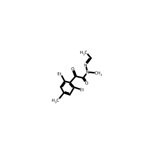 CC=NN(C)C(=O)C(=O)c1c(CC)cc(C)cc1CC